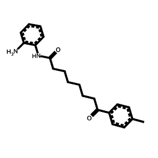 Cc1ccc(C(=O)CCCCCCC(=O)Nc2ccccc2N)cc1